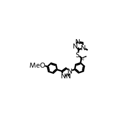 COc1ccc(-c2cn(-c3cccc([C@H](C)Sc4nncn4C)c3)nn2)cc1